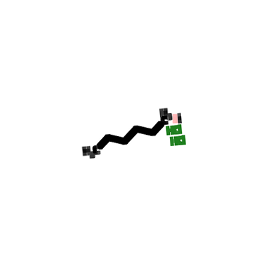 CCCCCC.Cl.Cl.[B]